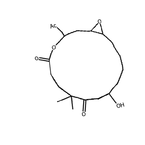 CC(=O)C1CC2OC2CCCCC(O)CC(=O)C(C)(C)CCC(=O)O1